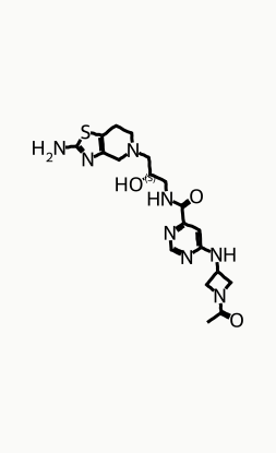 CC(=O)N1CC(Nc2cc(C(=O)NC[C@H](O)CN3CCc4sc(N)nc4C3)ncn2)C1